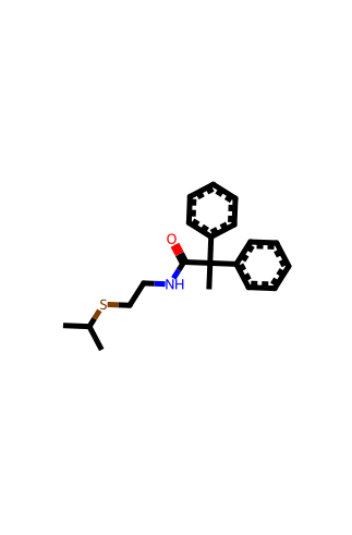 CC(C)SCCNC(=O)C(C)(c1ccccc1)c1ccccc1